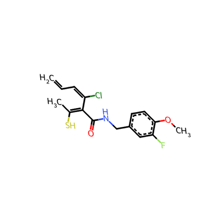 C=C/C=C(Cl)\C(C(=O)NCc1ccc(OC)c(F)c1)=C(/C)S